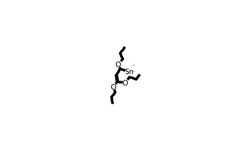 CCCOC(=C[CH]([Sn])OCCC)OCCC